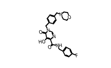 O=C(NCc1ccc(F)cc1)c1ncn(Cc2ccc(CN3CCOCC3)cc2)c(=O)c1O